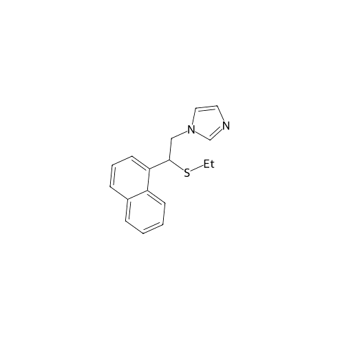 CCSC(Cn1ccnc1)c1cccc2ccccc12